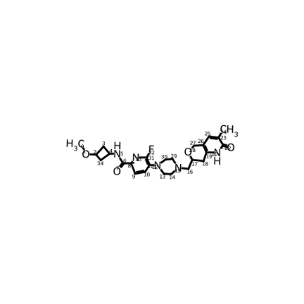 COC1CC(NC(=O)c2ccc(N3CCN(CC4Cc5[nH]c(=O)c(C)cc5CO4)CC3)c(F)n2)C1